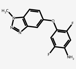 Cn1nnc2cc(Oc3cc(F)c(N)cc3F)ccc21